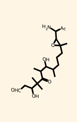 CC(=O)C(N)C1OC1(C)CCCC(C)C(O)C(C)C(=O)C(C)(C)C(O)CC=O